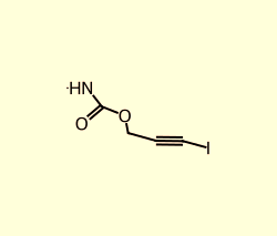 [NH]C(=O)OCC#CI